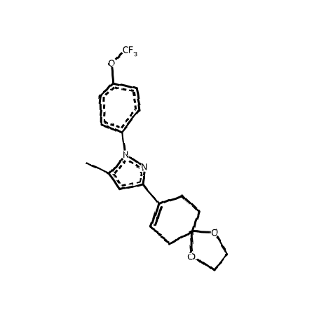 Cc1cc(C2=CCC3(CC2)OCCO3)nn1-c1ccc(OC(F)(F)F)cc1